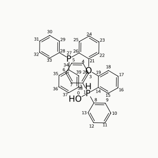 O[PH](c1ccccc1)(c1ccccc1)c1ccccc1Oc1ccccc1P(c1ccccc1)c1ccccc1